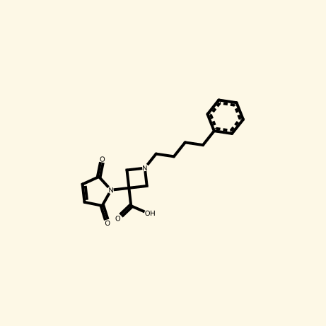 O=C1C=CC(=O)N1C1(C(=O)O)CN(CCCCc2ccccc2)C1